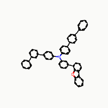 c1ccc(-c2ccc(-c3ccc(N(c4ccc(-c5cccc(-c6ccccc6)c5)cc4)c4cccc(-c5cccc6c5oc5ccccc56)c4)cc3)cc2)cc1